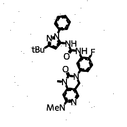 CNc1cc2c(cn1)CN(c1ccc(F)c(NC(=O)Nc3cc(C(C)(C)C)nn3-c3ccccc3)c1)C(=O)N2C